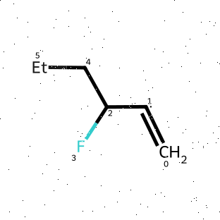 C=[C]C(F)CCC